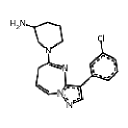 NC1CCCN(C2=Nc3c(-c4cccc(Cl)c4)cnn3C=CC2)C1